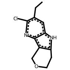 CCc1cc2[nH]c3c(c2nc1Cl)COCC3